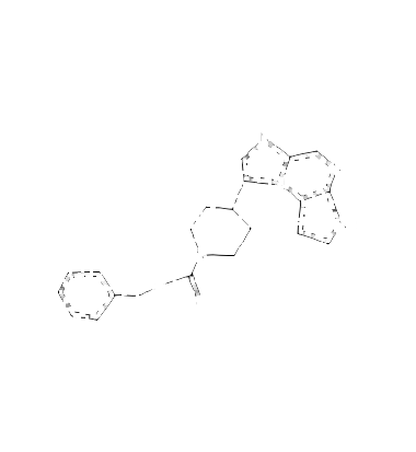 O=C(OCc1ccccc1)N1CCC(c2cnc3cnc4[nH]ccc4n23)CC1